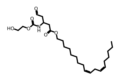 CCCCC/C=C\C/C=C\CCCCCCCCOC(=O)CC(CC=O)NC(=O)OCCO